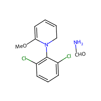 COC1=CC=CCN1c1c(Cl)cccc1Cl.NC=O